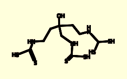 OC(CCNC(=S)S)(CCNC(S)S)CNC(=S)S